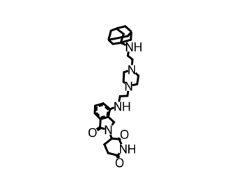 O=C1CCC(N2Cc3c(NCCN4CCN(CCNC56CC7CC(CC(C7)C5)C6)CC4)cccc3C2=O)C(=O)N1